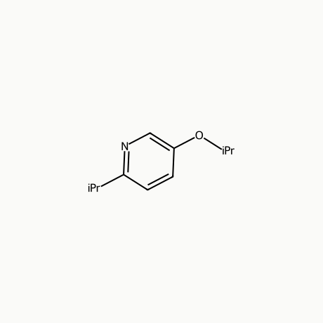 CC(C)Oc1ccc(C(C)C)nc1